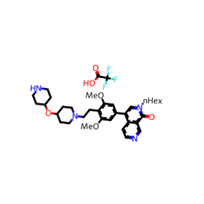 CCCCCCn1cc(-c2cc(OC)c(CCN3CCC(OC4CCNCC4)CC3)c(OC)c2)c2ccncc2c1=O.O=C(O)C(F)(F)F